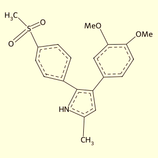 COc1ccc(-c2cc(C)[nH]c2-c2ccc(S(C)(=O)=O)cc2)cc1OC